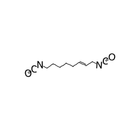 O=C=NC/C=C/CCCCCN=C=O